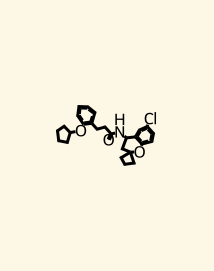 O=C(CCc1ccccc1OC1CCCC1)NC1CC2(CCC2)Oc2ccc(Cl)cc21